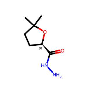 CC1(C)CC[C@H](C(=O)NN)O1